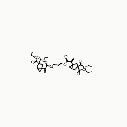 C=C(C(=O)OCCCOC(=O)C(=C)C12CC1CC(C(=O)OCC)(C(=O)OCC)C2)C12CC1CC(C(=O)OCC)(C(=O)OCC)C2